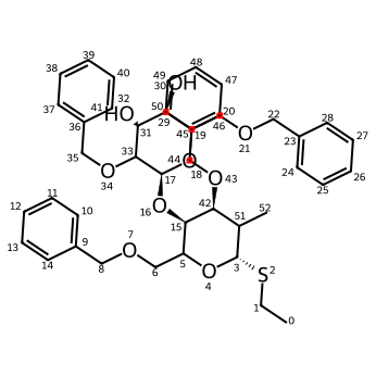 CCS[C@@H]1OC(COCc2ccccc2)[C@@H](O[C@@H]2OC(COCc3ccccc3)[C@H](O)[C@H](O)C2OCc2ccccc2)[C@@H](OCc2ccccc2)C1C